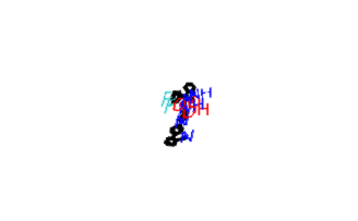 N#Cc1ccccc1C1CCC(N2CC(O)(CNC(=O)N3C(=O)Nc4ccccc4C3c3ccc(F)c(F)c3)C2)CC1